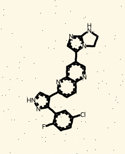 Fc1ccc(Cl)cc1-c1n[nH]cc1-c1ccc2ncc(-c3cnc4n3CCN4)cc2n1